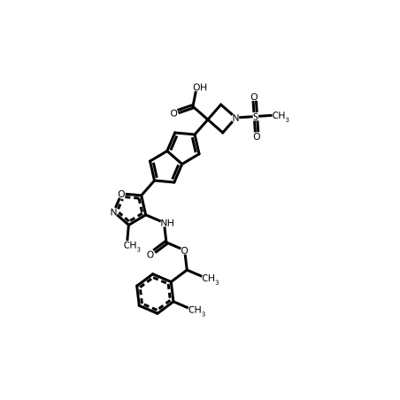 Cc1ccccc1C(C)OC(=O)Nc1c(C)noc1C1=CC2=CC(C3(C(=O)O)CN(S(C)(=O)=O)C3)=CC2=C1